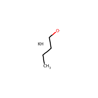 CCCC[O].[KH]